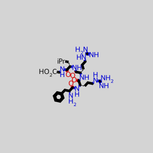 CC(C)C[C@H](NC(=O)[C@H](CCCNC(=N)N)NC(=O)[C@H](CCCNC(=N)N)NC(=O)[C@@H](N)Cc1ccccc1)C(=O)NCC(=O)O